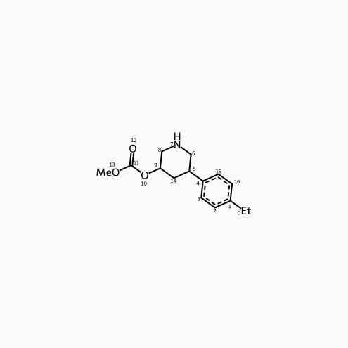 CCc1ccc(C2CNCC(OC(=O)OC)C2)cc1